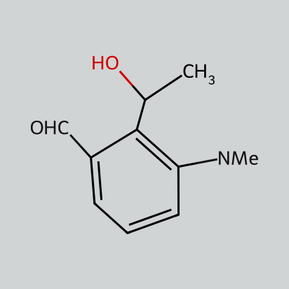 CNc1cccc(C=O)c1C(C)O